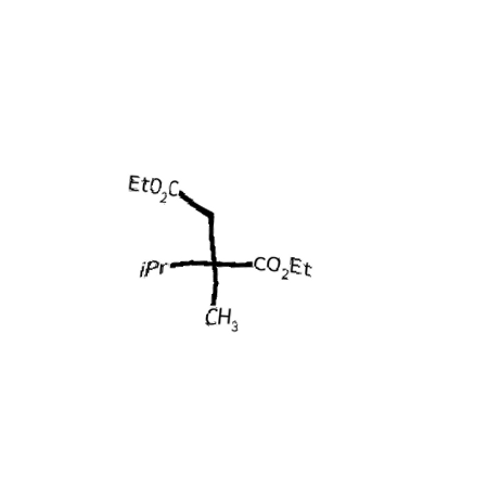 CCOC(=O)CC(C)(C(=O)OCC)C(C)C